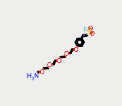 NCOCCOCCOCCOCCOc1ccc(/C=C/S(=O)(=O)F)cc1